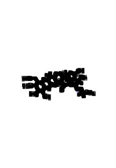 CC(=O)OC(C)(C)/C=C/C(=O)C(C)(O)[C@H]1[C@H](O)C[C@@]2(C)[C@@H]3CC=C4[C@@H](C=C(OC5OC(CO)C(O)C(O)C5O)C(=O)C4(C)C)[C@]3(C)C(=O)C[C@]12C